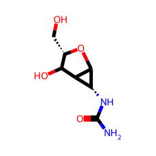 NC(=O)N[C@H]1C2O[C@@H](CO)C(O)C21